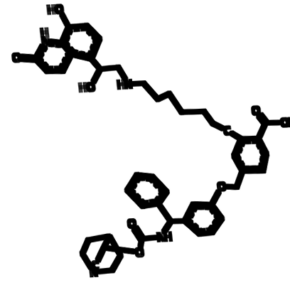 O=C(NC(c1ccccc1)c1cccc(OCc2ccc(C(=O)O)c(CCCCCCCNCC(O)c3ccc(O)c4[nH]c(=O)ccc34)c2)c1)OC1CN2CCC1CC2